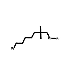 CC(C)CCCCCC(C)(C)CNC(C)C